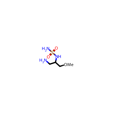 COCC(CN)NS(N)(=O)=O